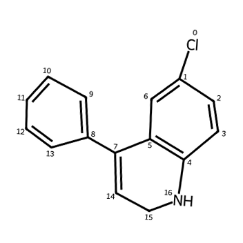 Clc1ccc2c(c1)C(c1ccccc1)=CCN2